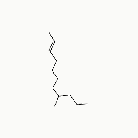 CC=CCCCCC(C)CCC